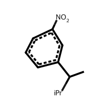 CC(C)C(C)c1cccc([N+](=O)[O-])c1